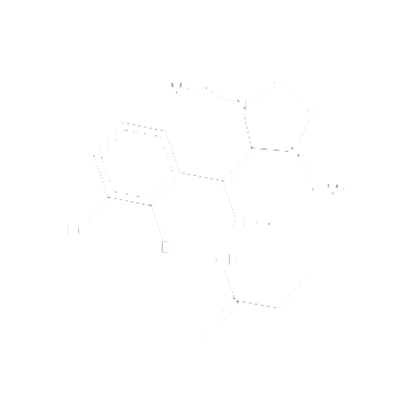 CCC(=O)O.CCCCCCC(=C1N(OC)OON1OC)c1cccc(CC)c1CC